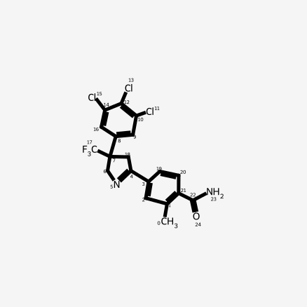 Cc1cc(C2=NCC(c3cc(Cl)c(Cl)c(Cl)c3)(C(F)(F)F)C2)ccc1C(N)=O